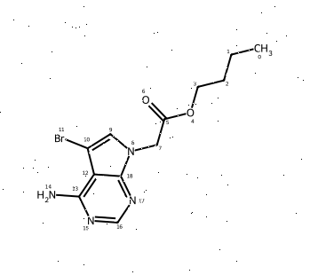 CCCCOC(=O)Cn1cc(Br)c2c(N)ncnc21